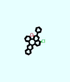 Clc1ccc2c3c1cc(-c1ccccc1)c1oc4cccc(c4c13)-c1cc3ccccc3cc1-2